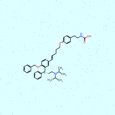 CC(C)N(CC[C@H](c1ccccc1)c1cc(/C=C/CCCOc2ccc(CCNC(=O)O)cc2)ccc1OCc1ccccc1)C(C)C